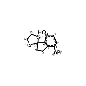 CCCc1ccc(O)c2c1CCC21SCCS1